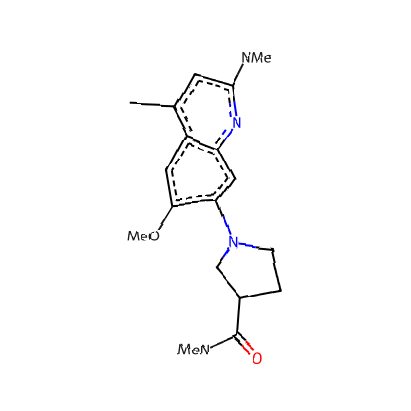 CNC(=O)C1CCN(c2cc3nc(NC)cc(C)c3cc2OC)C1